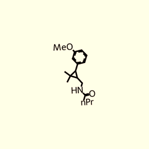 CCCC(=O)NCC1C(c2cccc(OC)c2)C1(C)C